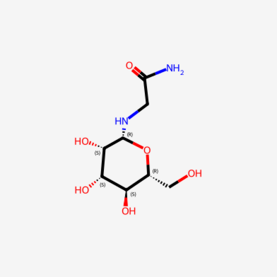 NC(=O)CN[C@@H]1O[C@H](CO)[C@@H](O)[C@H](O)[C@@H]1O